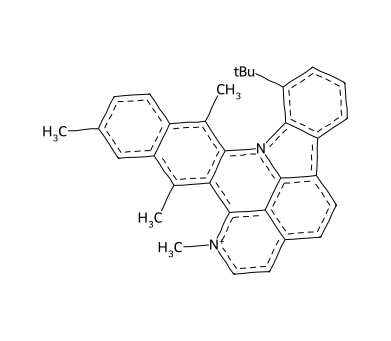 Cc1ccc2c(C)c3c(c(C)c2c1)c1c2c(ccc4c5cccc(C(C)(C)C)c5n3c42)cc[n+]1C